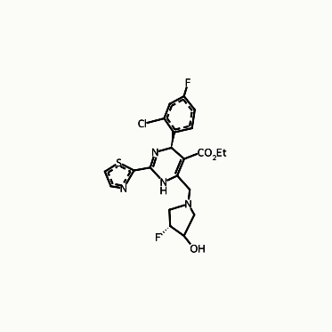 CCOC(=O)C1=C(CN2CC(O)[C@H](F)C2)NC(c2nccs2)=N[C@H]1c1ccc(F)cc1Cl